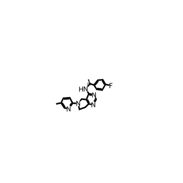 Cc1ccc(N2CCc3ncnc(N[C@@H](C)c4ccc(F)cc4)c3C2)nc1